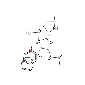 CN(C)C(=O)ON([C@@](Cc1ccccc1)(C(=O)O)C(=O)[C@H]1NC(C)(C)CS1)S(=O)(=O)c1ccncc1